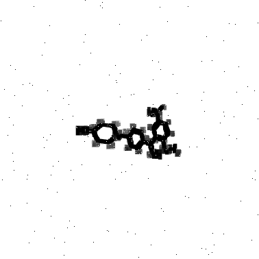 CNc1ccc(N)c(C(=N)c2ccc(N3CCC(O)CC3)cc2)c1